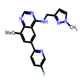 COc1cc(-c2ccc(F)cn2)cc2c(NCc3ccn(C)n3)ncnc12